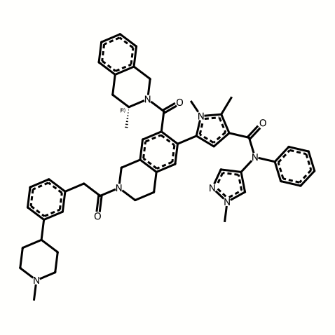 Cc1c(C(=O)N(c2ccccc2)c2cnn(C)c2)cc(-c2cc3c(cc2C(=O)N2Cc4ccccc4C[C@H]2C)CN(C(=O)Cc2cccc(C4CCN(C)CC4)c2)CC3)n1C